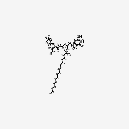 CCCCCCCCCCCCCCCCCC(=O)OCC(CCOC(=O)[C@@H](NC(=O)OC(C)(C)C)[C@@H](C)CC)Cn1cnc2c(=O)[nH]c(N)nc21